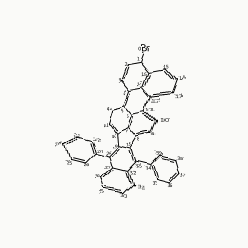 BrC1C=Cc2c3c4c5c(ccc4c4cccc1c24)-c1c(c(-c2ccccc2)c2ccccc2c1-c1ccccc1)C5=CC3